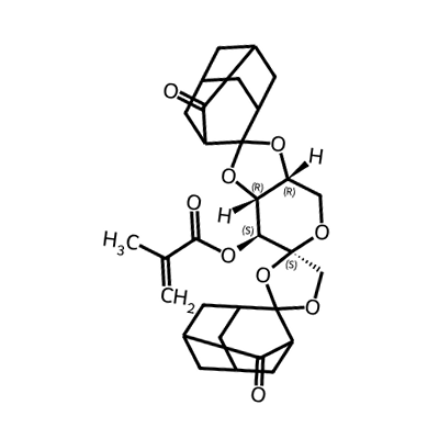 C=C(C)C(=O)O[C@H]1[C@@H]2OC3(O[C@@H]2CO[C@]12COC1(O2)C2CC4CC(C2)C(=O)C1C4)C1CC2CC(C1)C(=O)C3C2